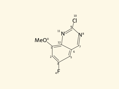 COc1cc(F)cc2cnc(Cl)nc12